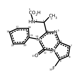 CC(NC(=O)O)c1nc2ccc(F)n2c(=O)n1-c1ccccc1